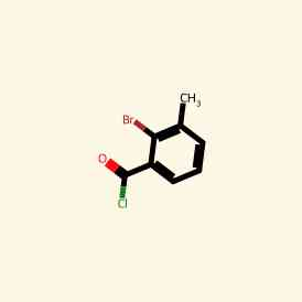 Cc1cccc(C(=O)Cl)c1Br